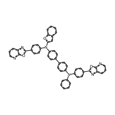 c1ccc(N(c2ccc(-c3ccc(N(c4ccc(-c5nc6cccnc6o5)cc4)c4cc5ccccc5o4)cc3)cc2)c2ccc(-c3nc4cccnc4o3)cc2)cc1